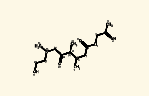 CC(=N)COC(=O)CN(C)[C@H](C)C(=O)CN(C)CCO